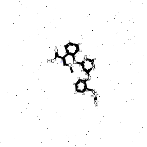 CO/C=C(/C(=O)O)c1ccccc1Oc1cc(Oc2ccccc2N=[N+]=[N-])ncn1